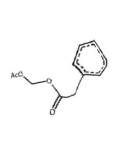 CC(=O)OCOC(=O)Cc1ccccc1